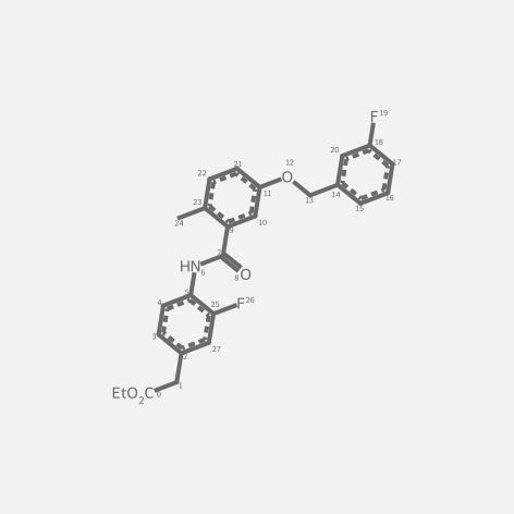 CCOC(=O)Cc1ccc(NC(=O)c2cc(OCc3cccc(F)c3)ccc2C)c(F)c1